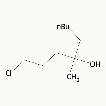 CCCCCC(C)(O)CCCCl